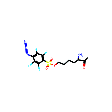 CC(=O)C(N)CCCCOS(=O)(=O)c1c(F)c(F)c(N=[N+]=[N-])c(F)c1F